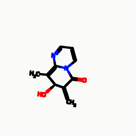 C=C1C(=O)N2C=CC=NC2=C(C)[C@@H]1O